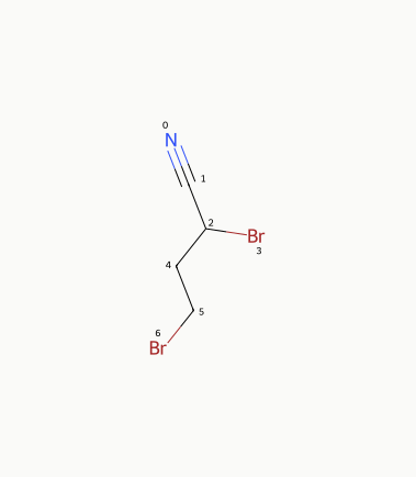 N#CC(Br)CCBr